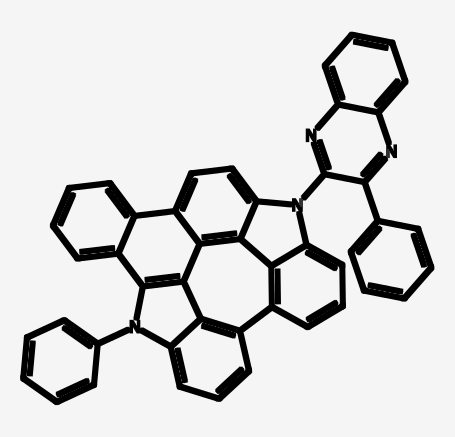 c1ccc(-c2nc3ccccc3nc2-n2c3cccc4c3c3c5c(ccc32)c2ccccc2c2c5c3c-4cccc3n2-c2ccccc2)cc1